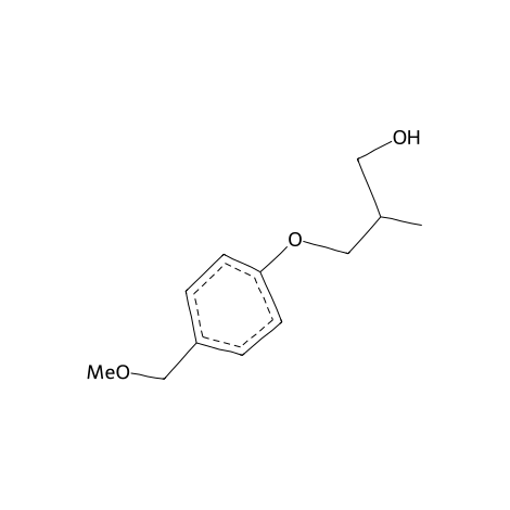 COCc1ccc(OCC(C)CO)cc1